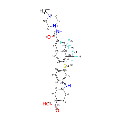 CN1CCN(NC(=O)C=Cc2ccc(Sc3cccc(NC4CCC(C(=O)O)CC4)c3)c(C(F)(F)F)c2C(F)(F)F)CC1